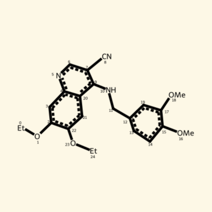 CCOc1cc2ncc(C#N)c(NCc3ccc(OC)c(OC)c3)c2cc1OCC